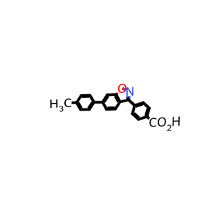 Cc1ccc(-c2ccc3c(-c4ccc(C(=O)O)cc4)noc3c2)cc1